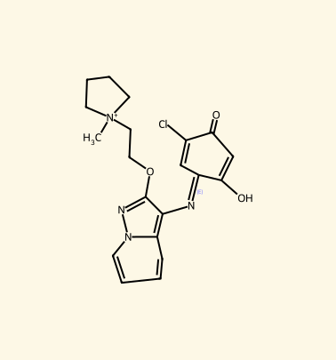 C[N+]1(CCOc2nn3ccccc3c2/N=C2\C=C(Cl)C(=O)C=C2O)CCCC1